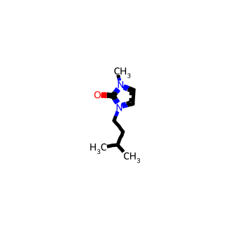 CC(C)CCn1ccn(C)c1=O